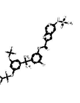 CC(C)(c1cc(Br)cc(NC(=O)c2cc3cc(NS(C)(=O)=O)ncc3s2)c1)c1cc(OC(F)(F)F)cc(OC(F)(F)C(F)F)c1